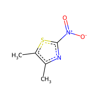 Cc1nc([N+](=O)[O-])sc1C